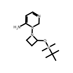 CC(C)(C)[Si](C)(C)OC1CCN1N1CN=CC=C1N